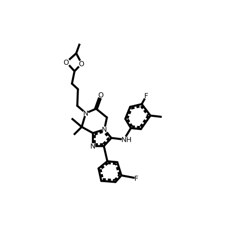 Cc1cc(Nc2c(-c3cccc(F)c3)nc3n2CC(=O)N(CCCC2OC(C)O2)C3(C)C)ccc1F